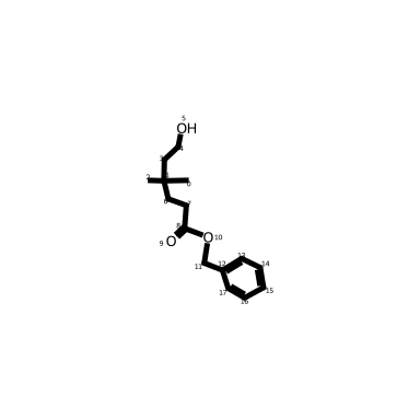 CC(C)(CCO)CCC(=O)OCc1ccccc1